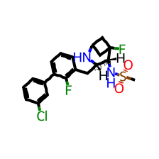 CS(=O)(=O)N[C@@H]1[C@H](Cc2cccc(-c3cccc(Cl)c3)c2F)NC2CC1(F)C2